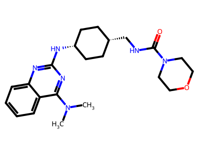 CN(C)c1nc(N[C@H]2CC[C@@H](CNC(=O)N3CCOCC3)CC2)nc2ccccc12